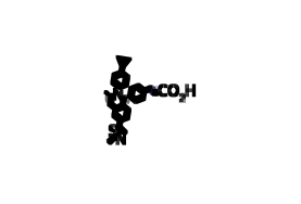 Cc1ncc(-c2ccc3c(c2)C[C@@H](C)N(c2ccc(C4CC4)cc2)[C@@H]3c2ccc(/C=C/C(=O)O)cc2)s1